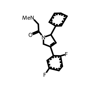 CNCC(=O)N1CC(c2cc(F)ccc2F)=CC1c1ccccc1